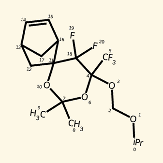 CC(C)OCOC1(C(F)(F)F)OC(C)(C)OC2(CC3C=CC2C3)C1(F)F